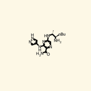 CCCC[C@@H](N)[C@@H](C)Nc1cnc(C(N)=O)c(Nc2cn[nH]c2)n1